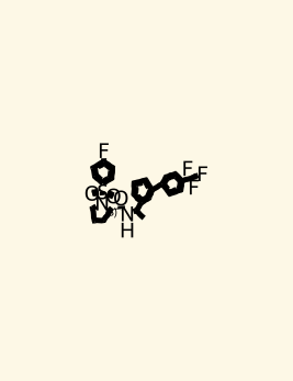 CC(NC(=O)[C@@H]1CCCN1S(=O)(=O)c1ccc(F)cc1)c1cccc(-c2ccc(C(F)(F)F)cc2)c1